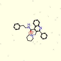 O=C(NCCc1ccccc1)c1c(C[N+]2([O-])CCCCC2)c(-c2ccccc2)nc2ccccc12